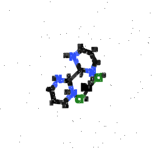 [Cl][Ru][Cl].c1cnc(-c2ncccn2)nc1